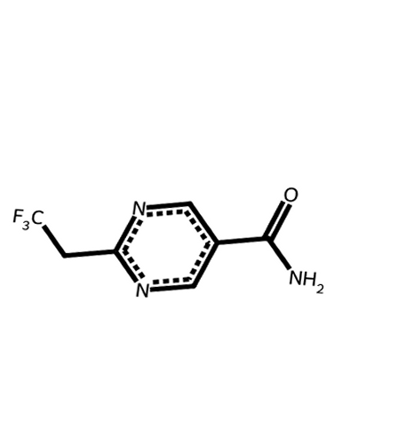 NC(=O)c1cnc(CC(F)(F)F)nc1